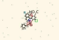 O=C(O)COc1ccc(Cl)cc1C1c2ccc(F)cc2CCN1OC(=O)OCc1ccccc1